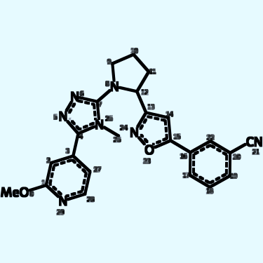 COc1cc(-c2nnc(N3CCCC3c3cc(-c4cccc(C#N)c4)on3)n2C)ccn1